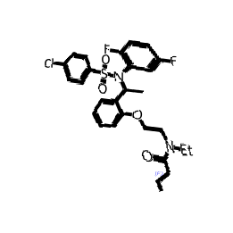 C/C=C/C(=O)N(CC)CCOc1ccccc1C(C)N(c1cc(F)ccc1F)S(=O)(=O)c1ccc(Cl)cc1